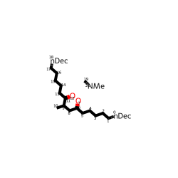 CCCCCCCCCCCCCCCC(=O)CC(C)C(=O)CCCCCCCCCCCCCCC.CNC